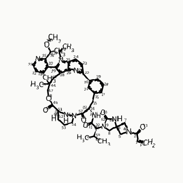 C=CC(=O)N1CC2(C1)CN([C@H](C(=O)N[C@H]1Cc3cccc(c3)-c3ccc4c(n3)c(c(-c3cccnc3[C@H](C)OC)n4CC)CC(C)(C)COC(=O)[C@@H]3CCCN(N3)C1=O)C(C)C)C(=O)N2